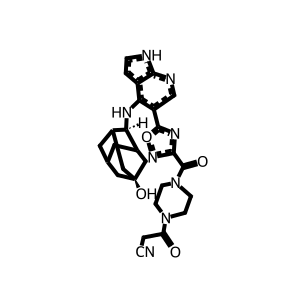 N#CCC(=O)N1CCN(C(=O)c2noc(-c3cnc4[nH]ccc4c3N[C@H]3C4CC5CC3C[C@@](O)(C5)C4)n2)CC1